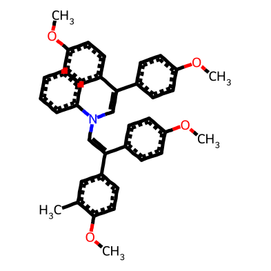 COc1ccc(C(=CN(/C=C(\c2ccc(OC)cc2)c2ccc(OC)c(C)c2)c2ccccc2)c2ccc(OC)cc2)cc1